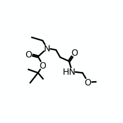 CCN(CCC(=O)NCOC)C(=O)OC(C)(C)C